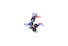 NCc1cccc(-c2cc(Cl)ccc2[C@@H](Oc2cc(N3CCC4(CC3)CN[C@H](C(=O)O)C4)nc(N)n2)C(F)(F)F)c1